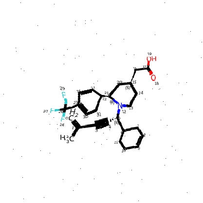 C=C(C)C#C[C@@H](C1CC=CCC1)N1CC[C@H](CC(=O)O)C[C@@H]1C1C=CC(C(F)(F)F)=CC1